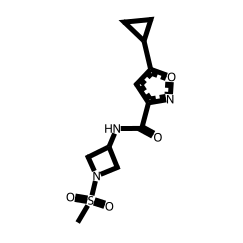 CS(=O)(=O)N1CC(NC(=O)c2cc(C3CC3)on2)C1